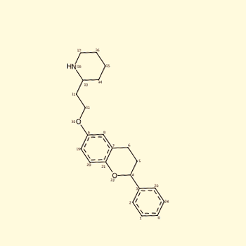 c1ccc(C2CCc3cc(OCCC4CCCCN4)ccc3O2)cc1